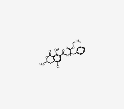 CCOC(=O)C(Cc1ccccc1)NC(=O)c1cc(Cl)c2c(c1O)C(=O)OC(C)C2